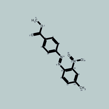 COC(=O)c1ccc(N=Nc2ccc(C)cc2[N+](=O)[O-])cc1